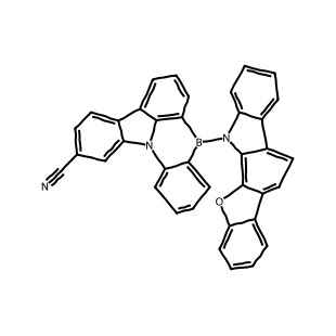 N#Cc1ccc2c3cccc4c3n(c2c1)-c1ccccc1B4n1c2ccccc2c2ccc3c4ccccc4oc3c21